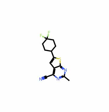 Cc1nc(C#N)c2cc(C3CCC(F)(F)CC3)sc2n1